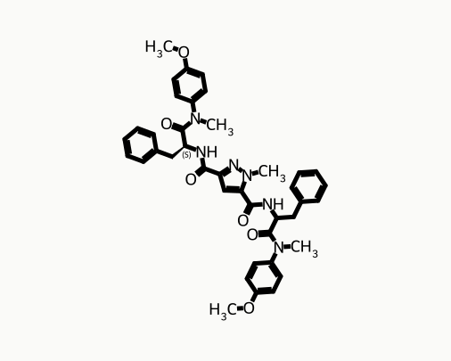 COc1ccc(N(C)C(=O)C(Cc2ccccc2)NC(=O)c2cc(C(=O)N[C@@H](Cc3ccccc3)C(=O)N(C)c3ccc(OC)cc3)nn2C)cc1